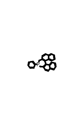 c1ccc(P2Cc3ccc4ccccc4c3-c3c(ccc4ccccc34)C2)cc1